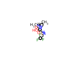 CCN1C(=O)c2c(O)c(=O)c(-c3nnc(Cc4c(F)cc(F)cc4F)s3)cn2N2CC[C@@H](C)C[C@@H]12